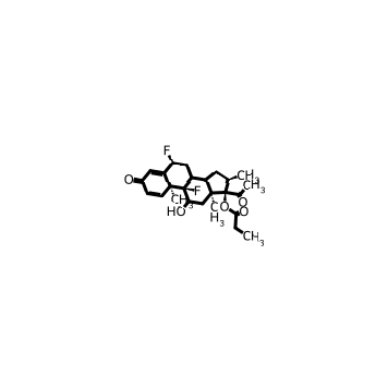 CCC(=O)O[C@]1(C(C)=O)[C@H](C)CC2C3C[C@H](F)C4=CC(=O)C=C[C@]4(C)[C@@]3(F)C(O)C[C@@]21C